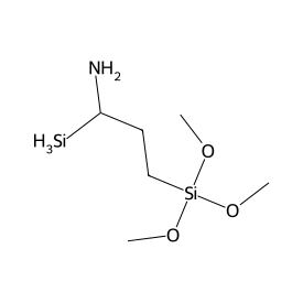 CO[Si](CCC(N)[SiH3])(OC)OC